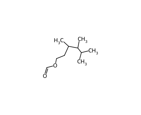 CC(C)C(C)C(C)CCOC=O